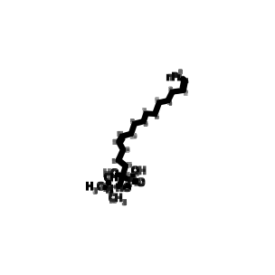 CCC/C=C\CCCCCCCC/C=C\CCCC(O)(C[N+](C)(C)C)P(=O)(O)O